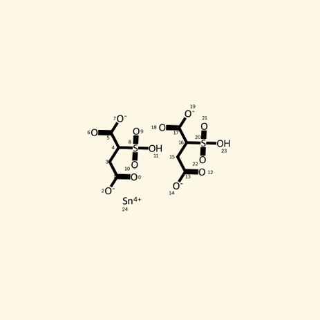 O=C([O-])CC(C(=O)[O-])S(=O)(=O)O.O=C([O-])CC(C(=O)[O-])S(=O)(=O)O.[Sn+4]